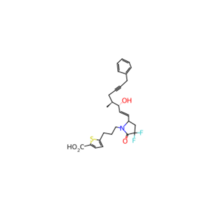 C[C@@H](CC#CCc1ccccc1)[C@H](O)C=CC1CC(F)(F)C(=O)N1CCCc1ccc(C(=O)O)s1